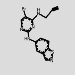 C#CCNc1nc(Nc2ccc3sncc3c2)ncc1Br